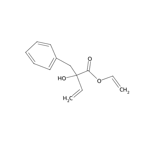 C=COC(=O)C(O)(C=C)Cc1ccccc1